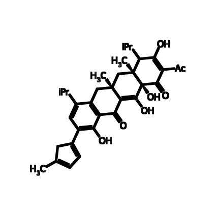 CC(=O)C1=C(O)C(C(C)C)[C@@]2(C)C[C@@]3(C)Cc4c(C(C)C)cc(C5=CC=C(C)C5)c(O)c4C(=O)C3=C(O)[C@@]2(O)C1=O